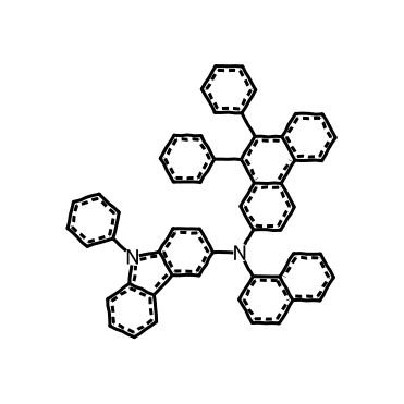 c1ccc(-c2c(-c3ccccc3)c3cc(N(c4ccc5c(c4)c4ccccc4n5-c4ccccc4)c4cccc5ccccc45)ccc3c3ccccc23)cc1